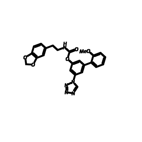 COc1ccccc1-c1cc(OC(=O)NCCc2ccc3c(c2)OCO3)cc(-n2cnnn2)c1